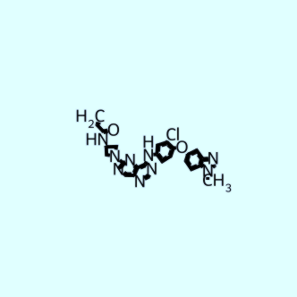 C=CC(=O)NC1CN(c2ncc3ncnc(Nc4ccc(Oc5ccc6c(c5)ncn6C)c(Cl)c4)c3n2)C1